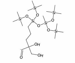 C[Si](C)(C)O[Si](C)(O[Si](C)(C)C)O[Si](CCCC(O)([C]=O)CO)(O[Si](C)(C)C)O[Si](C)(C)C